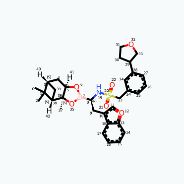 CC1(C)[C@@H]2C[C@H]3OB([C@H](Cc4coc5ccccc45)NS(=O)(=O)Cc4cccc(C5CCOC5)c4)O[C@@]3(C)[C@H]1C2